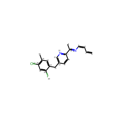 C=C/C=C\N=C(/C)c1ccc(Cc2cc(C)c(Cl)cc2F)cn1